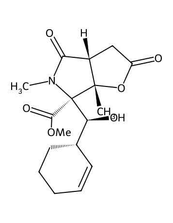 COC(=O)[C@]1([C@@H](O)[C@@H]2C=CCCC2)N(C)C(=O)[C@@H]2CC(=O)O[C@@]21C